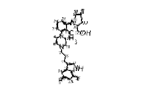 Cc1c(N2CCN(CCCc3c[nH]c4c(F)cc(F)cc34)CC2)cccc1N1CCCC1CO